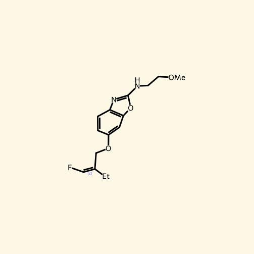 CC/C(=C/F)COc1ccc2nc(NCCOC)oc2c1